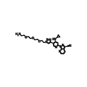 N#Cc1nn(-c2cc(NC3CC3)c(-c3cn(CCOCCOCCOCCN)nn3)cn2)c2ncccc12